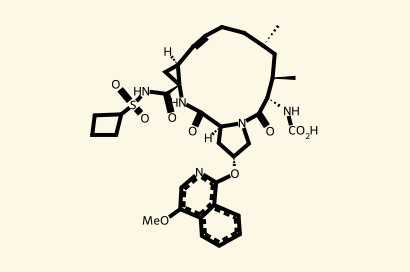 COc1cnc(O[C@@H]2C[C@H]3C(=O)N[C@]4(C(=O)NS(=O)(=O)C5CCC5)C[C@H]4/C=C\CC[C@H](C)C[C@@H](C)[C@H](NC(=O)O)C(=O)N3C2)c2ccccc12